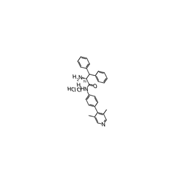 Cc1cncc(C)c1-c1ccc(NC(=O)[C@@H](N)C(c2ccccc2)c2ccccc2)cc1.Cl.Cl